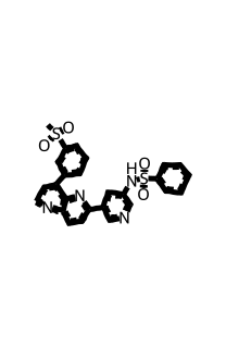 CS(=O)(=O)c1cccc(-c2ccnc3ccc(-c4cncc(NS(=O)(=O)c5ccccc5)c4)nc23)c1